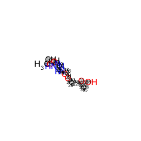 CC(C)(C)OC(=O)Nc1ncnc2c1ncn2C1CCC(COc2cccc(CCC(=O)c3ccccc3CO)c2)O1